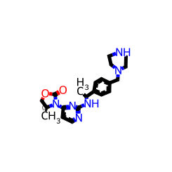 CC(Nc1nccc(N2C(=O)OC[C@@H]2C)n1)c1ccc(CN2CCNCC2)cc1